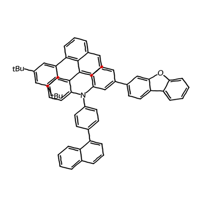 CC(C)(C)c1cc(-c2cccc3cccc(-c4ccccc4N(c4ccc(-c5cccc6ccccc56)cc4)c4cccc(-c5ccc6c(c5)oc5ccccc56)c4)c23)cc(C(C)(C)C)c1